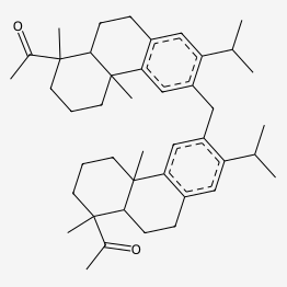 CC(=O)C1(C)CCCC2(C)c3cc(Cc4cc5c(cc4C(C)C)CCC4C(C)(C(C)=O)CCCC54C)c(C(C)C)cc3CCC12